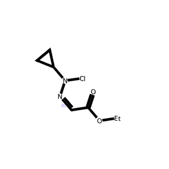 CCOC(=O)/C=N\N(Cl)C1CC1